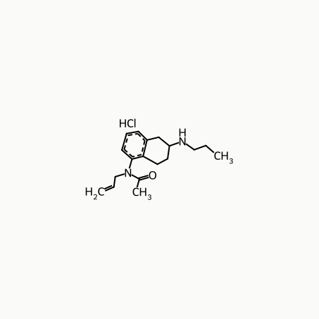 C=CCN(C(C)=O)c1cccc2c1CCC(NCCC)C2.Cl